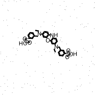 CCN(Cc1cccc(S(=O)(=O)O)c1)c1ccc2c(c1)Oc1cc(N(CC)Cc3cccc(S(=O)(=O)O)c3)ccc1N2